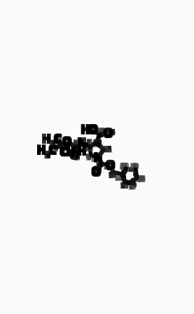 CC(C)(C)OC(=O)N[C@@H]1CN(C(=O)OCc2ccccc2)C[C@@H]1C(=O)O